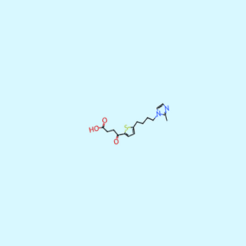 Cc1nccn1CCCCc1ccc(C(=O)CCC(=O)O)s1